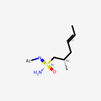 C/C=C/C[C@H](C)C[S@@](N)(=O)=NC(C)=O